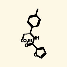 CCOC(=O)C[C@@H](NC(=O)c1ccco1)c1ccc(C)cc1